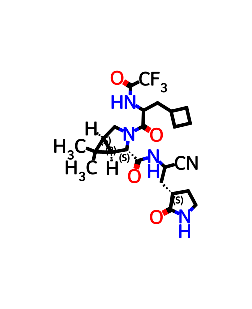 CC1(C)[C@@H]2[C@@H](C(=O)NC(C#N)C[C@@H]3CCNC3=O)N(C(=O)C(CC3CCC3)NC(=O)C(F)(F)F)C[C@@H]21